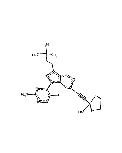 CC(C)(O)CCc1cn(-c2nc(N)ncc2F)c2cc(C#CC3(O)CCCC3)ncc12